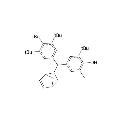 Cc1cc(C(c2cc(C(C)(C)C)c(C(C)(C)C)c(C(C)(C)C)c2)C2CC3C=CC2C3)cc(C(C)(C)C)c1O